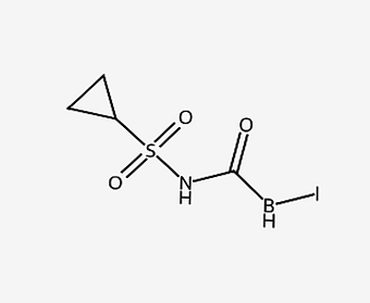 O=C(BI)NS(=O)(=O)C1CC1